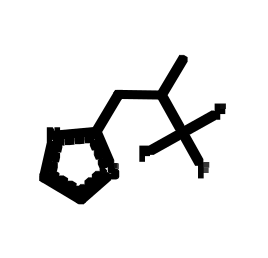 CC(Cc1nccs1)C(F)(F)F